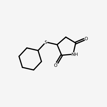 O=C1CC(SC2CCCCC2)C(=O)N1